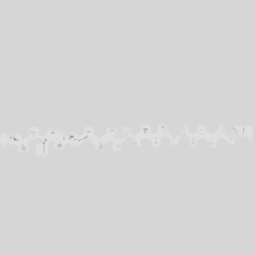 CCCCCCCCCCCCCCCCC=CNCCNCCN